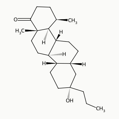 CCC[C@@]1(O)CC[C@H]2[C@H](CC[C@@H]3[C@@H]2CC[C@]2(C)C(=O)CC[C@@H](C)[C@@H]32)C1